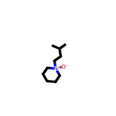 CC(C)CC[N+]1([O-])CCCCC1